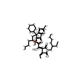 CC=C1C(=O)N(CC(CC)CCCC)C(=O)/C1=C(/O)c1cc2c(s1)-c1sc(C)cc1C2(CC(CC)CCCC)C1CCCCC1